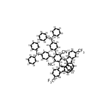 N#Cc1c(-c2ccc(N(c3ccccc3)c3ccccc3)cc2)c(-c2ccc(N(c3ccccc3)c3ccccc3)cc2)c(C#N)c(-n2c3ccccc3c3cc(C(F)(F)F)ccc32)c1-n1c2ccccc2c2cc(C(F)(F)F)ccc21